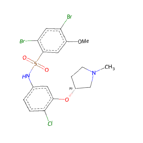 COc1cc(S(=O)(=O)Nc2ccc(Cl)c(O[C@@H]3CCN(C)C3)c2)c(Br)cc1Br